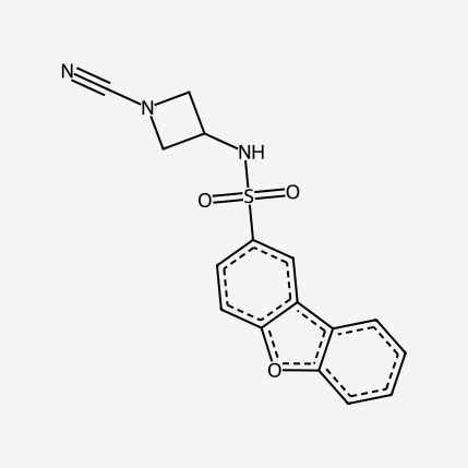 N#CN1CC(NS(=O)(=O)c2ccc3oc4ccccc4c3c2)C1